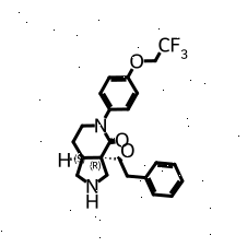 O=C(Cc1ccccc1)[C@]12CNC[C@H]1CCN(c1ccc(OCC(F)(F)F)cc1)C2=O